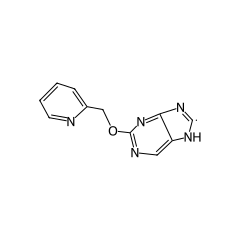 [c]1nc2nc(OCc3ccccn3)ncc2[nH]1